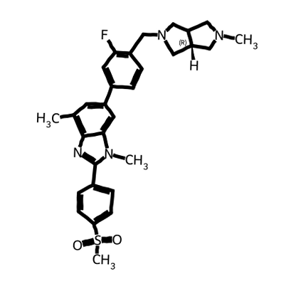 Cc1cc(-c2ccc(CN3CC4CN(C)C[C@@H]4C3)c(F)c2)cc2c1nc(-c1ccc(S(C)(=O)=O)cc1)n2C